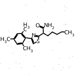 CCCCCC(C(N)=O)c1nc(-c2c(C)cc(C)cc2C)cs1